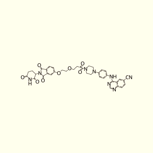 N#Cc1ccc2ncnc(Nc3ccc(N4CCN(S(=O)(=O)CCOCCOc5ccc6c(c5)C(=O)N(C5CCC(=O)NC5=O)C6=O)CC4)cc3)c2c1